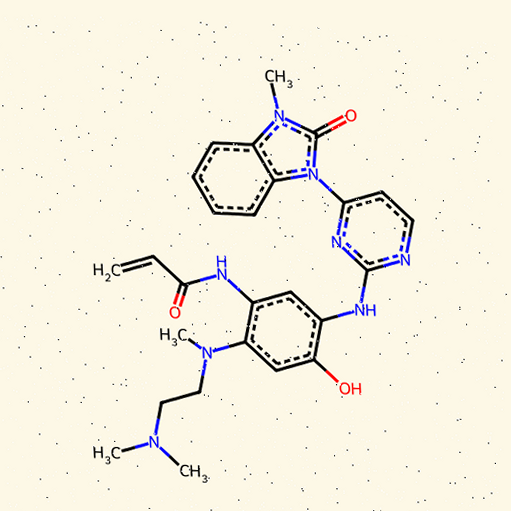 C=CC(=O)Nc1cc(Nc2nccc(-n3c(=O)n(C)c4ccccc43)n2)c(O)cc1N(C)CCN(C)C